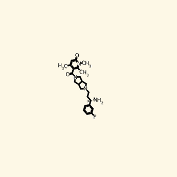 Cc1cc(=O)n(C)c(C)c1C(=O)N1CC2CN(CC[C@H](N)c3cccc(F)c3)CC2C1